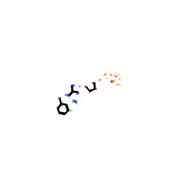 C[C@H](Nc1nc(Cl)nc2c1cnn2[C@@H]1O[C@H](COP(=O)(O)CP(=O)(O)O)[C@@H](O)[C@H]1O)c1cccc(F)c1